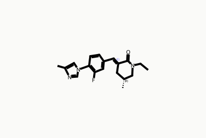 CCN1C[C@H](C)C/C(=C\c2ccc(-n3cnc(C)c3)c(F)c2)C1=O